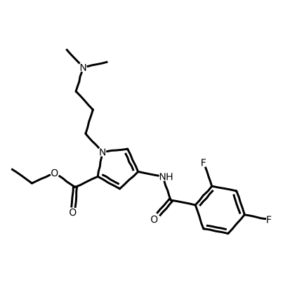 CCOC(=O)c1cc(NC(=O)c2ccc(F)cc2F)cn1CCCN(C)C